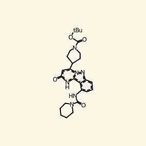 CC(C)(C)OC(=O)N1CCC(c2cc(=O)[nH]c3c4c(NC(=O)N5CCCCC5)cccc4nn23)CC1